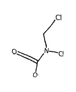 [O]C(=O)N(Cl)CCl